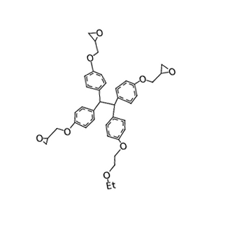 CCOCCOc1ccc(C(c2ccc(OCC3CO3)cc2)C(c2ccc(OCC3CO3)cc2)c2ccc(OCC3CO3)cc2)cc1